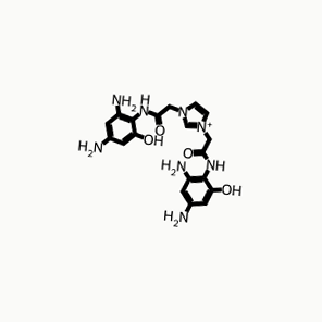 Nc1cc(N)c(NC(=O)Cn2cc[n+](CC(=O)Nc3c(N)cc(N)cc3O)c2)c(O)c1